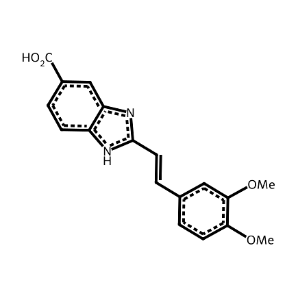 COc1ccc(C=Cc2nc3cc(C(=O)O)ccc3[nH]2)cc1OC